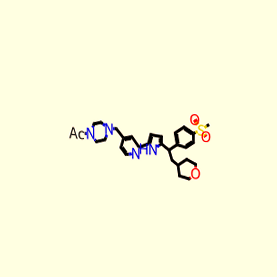 CC(=O)N1CCN(Cc2ccnc(-c3ccc(C(CC4CCOCC4)c4ccc(S(C)(=O)=O)cc4)[nH]3)c2)CC1